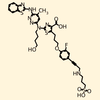 Cc1cc(N(CCCCO)c2nc(C(=O)O)c(CCCOc3ccc(C#CCNCCCS(=O)(=O)O)cc3F)s2)nnc1Nc1nc2ccccc2s1